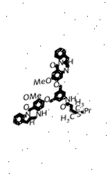 COc1cc2c(cc1OCc1cc(COc3cc4c(cc3OC)C(=O)N3c5ccccc5C[C@H]3CN4)cc(NC(=O)CCC(C)(C)SC(C)C)c1)N=C[C@@H]1Cc3ccccc3N1C2=O